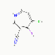 N#CC1=C(I)C(Cl)=CC=NC1